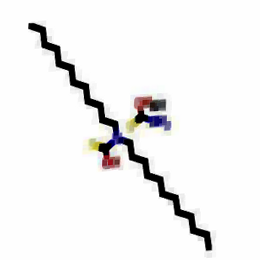 CCCCCCCCCCCCN(CCCCCCCCCCCC)C(O)=S.NC(O)=S.[KH]